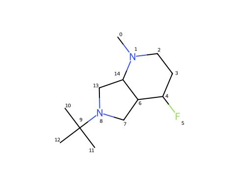 CN1CCC(F)C2CN(C(C)(C)C)CC21